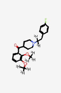 [2H]C([2H])([2H])Oc1cccc(C(=O)C2CCN(C([2H])([2H])Cc3ccc(F)cc3)CC2)c1OC([2H])([2H])[2H]